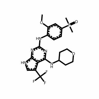 COc1cc(P(C)(C)=O)ccc1Nc1nc(NC2CCOCC2)c2c(C(F)(F)F)c[nH]c2n1